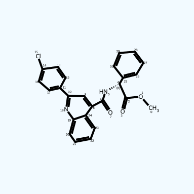 COC(=O)[C@H](NC(=O)c1cc(-c2ccc(Cl)cc2)nc2ccccc12)c1ccccc1